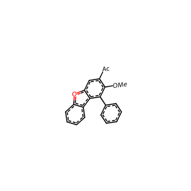 COc1c(C(C)=O)cc2oc3ccccc3c2c1-c1ccccc1